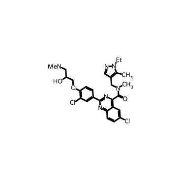 CCn1ncc(CN(C)C(=O)c2nc(-c3ccc(OCC(O)CNC)c(Cl)c3)nc3ccc(Cl)cc23)c1C